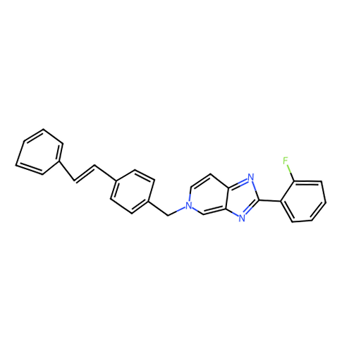 Fc1ccccc1-c1nc2ccn(Cc3ccc(/C=C/c4ccccc4)cc3)cc-2n1